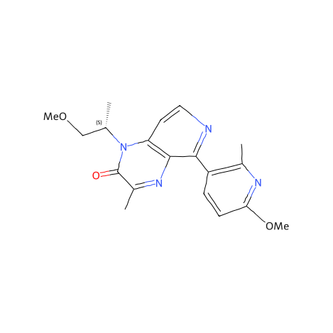 COC[C@H](C)n1c(=O)c(C)nc2c(-c3ccc(OC)nc3C)nccc21